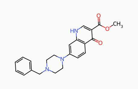 COC(=O)c1c[nH]c2cc(N3CCN(Cc4ccccc4)CC3)ccc2c1=O